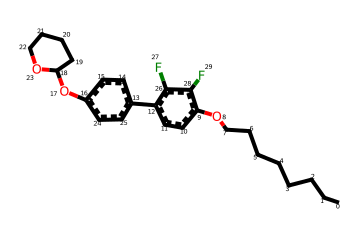 CCCCCCCCOc1ccc(-c2ccc(OC3CCCCO3)cc2)c(F)c1F